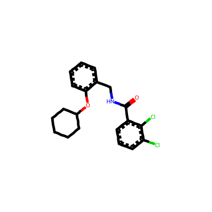 O=C(NCc1ccccc1OC1CCCCC1)c1cccc(Cl)c1Cl